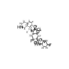 C[C@H](c1cccc2c1CNCC2)n1c(=O)oc2cc(S(=O)(=O)Nc3ccc(F)cn3)c(F)cc21.Cl